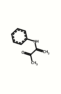 C=C(Nc1ccccc1)C(C)=O